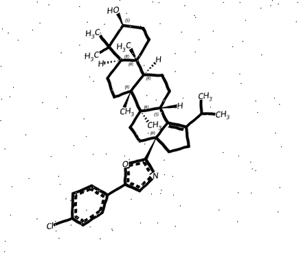 CC(C)C1=C2[C@H]3CC[C@@H]4[C@@]5(C)CC[C@H](O)C(C)(C)[C@@H]5CC[C@@]4(C)[C@]3(C)CC[C@@]2(c2ncc(-c3ccc(Cl)cc3)o2)CC1